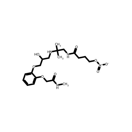 CNC(=O)COc1ccccc1OCC(O)CNC(C)(C)CNC(=O)CCCO[N+](=O)[O-]